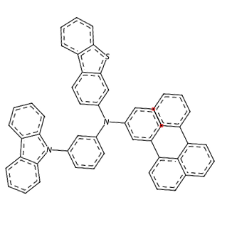 c1ccc(-c2cccc3cccc(-c4cccc(N(c5cccc(-n6c7ccccc7c7ccccc76)c5)c5ccc6c(c5)sc5ccccc56)c4)c23)cc1